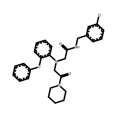 O=C(CN(CC(=O)N1CCCCC1)c1ccccc1Oc1ccccc1)NCc1cccc(Cl)c1